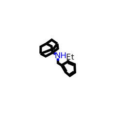 CCc1ccccc1CNC12CC3CC(CC(C3)C1)C2